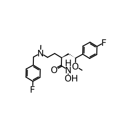 CO[C@H](C[C@H](CCN(C)Cc1ccc(F)cc1)C(=O)NO)c1ccc(F)cc1